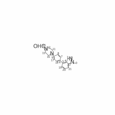 Cn1ncc2c(-c3ccc(N4CCN(C=O)CC4)cc3)cccc21